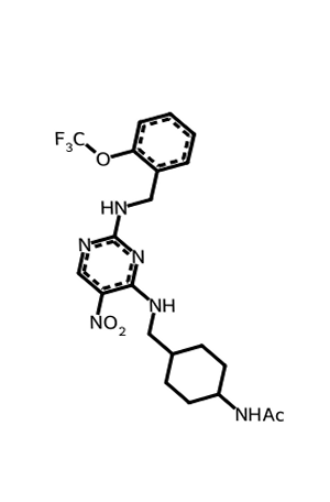 CC(=O)NC1CCC(CNc2nc(NCc3ccccc3OC(F)(F)F)ncc2[N+](=O)[O-])CC1